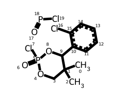 CC1(C)COP(=O)(Cl)OC1c1ccccc1Cl.O=PCl